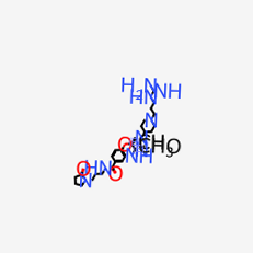 CN(/C=C1/Oc2ccc(C(=O)NCCCN3CCCC3=O)cc2N/C1=N/C=O)C1CCN(CCCNC(=N)N)CC1